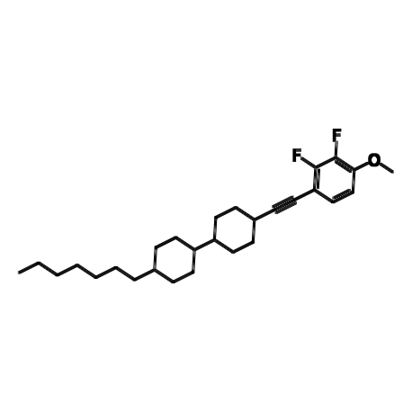 CCCCCCCC1CCC(C2CCC(C#Cc3ccc(OC)c(F)c3F)CC2)CC1